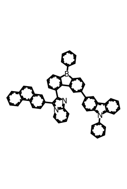 c1ccc(B2c3ccc(-c4ccc5c(c4)c4ccccc4n5-c4ccccc4)cc3-c3c2cccc3-c2nc3ccccn3c2-c2ccc3c(ccc4ccccc43)c2)cc1